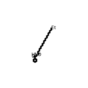 CCC=CCC=CCC=CCC=CCC=CCC=CCCC(=O)NCC(=O)c1ccccc1